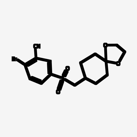 N#Cc1cc(S(=O)(=O)CC2CCC3(CC2)OCCO3)ccc1Br